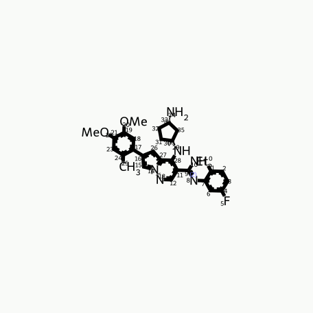 CCc1ccc(F)cc1/N=C(\N)c1cnn2cc(-c3cc(OC)c(OC)cc3C)cc2c1N[C@@H]1CC[C@H](N)C1